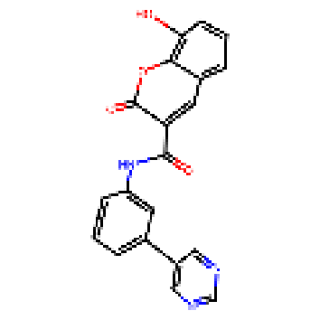 O=C(Nc1cccc(-c2cncnc2)c1)c1cc2cccc(O)c2oc1=O